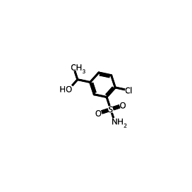 CC(O)c1ccc(Cl)c(S(N)(=O)=O)c1